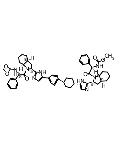 COC(=O)N[C@@H](C(=O)N1[C@H](c2ncc([C@H]3CC[C@H](c4ccc(-c5cnc([C@@H]6C[C@@H]7CCCC[C@@H]7N6C(=O)[C@H](NC6OCO6)c6ccccc6)[nH]5)cc4)CC3)[nH]2)C[C@@H]2CCCC[C@@H]21)c1ccccc1